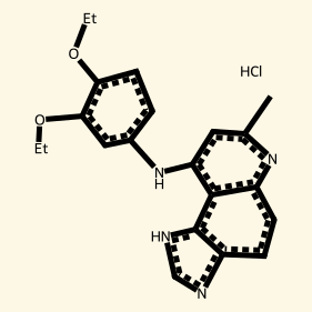 CCOc1ccc(Nc2cc(C)nc3ccc4nc[nH]c4c23)cc1OCC.Cl